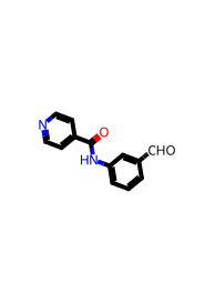 O=Cc1cccc(NC(=O)c2ccncc2)c1